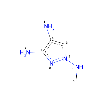 CNn1cc(N)c(N)n1